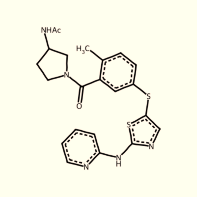 CC(=O)NC1CCN(C(=O)c2cc(Sc3cnc(Nc4ccccn4)s3)ccc2C)C1